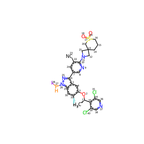 C[C@@H](Oc1cc2c(-c3cnc(N4CC5(CCCS(=O)(=O)C5)C4)c(C#N)c3)nn(PI)c2cc1F)c1c(Cl)cncc1Cl